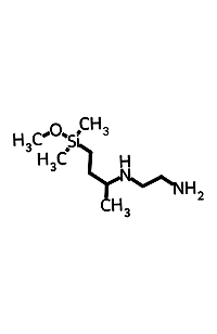 CO[Si](C)(C)CCC(C)NCCN